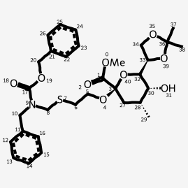 COC(=O)[C@@]1(OCCSCN(Cc2ccccc2)C(=O)OCc2ccccc2)C[C@@H](C)[C@@H](O)C([C@H]2COC(C)(C)O2)O1